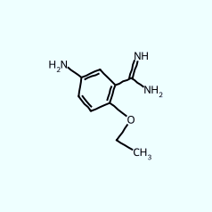 CCOc1ccc(N)cc1C(=N)N